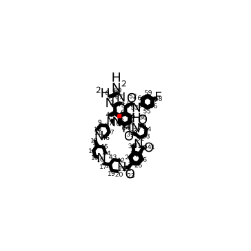 [2H]c1nc(-c2cnn(C3CCN(CC4CCN(CC5CCN(C(=O)c6ccc7c(c6)CN(C6CCC(=O)NC6=O)C7=O)CC5)CC4)CC3)c2)c([C@H](C(=O)Nc2ccc(F)cc2)c2ccccc2)nc1N